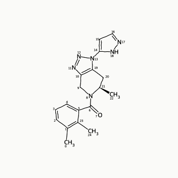 Cc1cccc(C(=O)N2Cc3nnn(-c4ccn[nH]4)c3C[C@H]2C)c1C